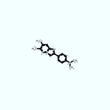 Cc1cc2nc(-c3ccc(N(C)C)cc3)cn2nc1C